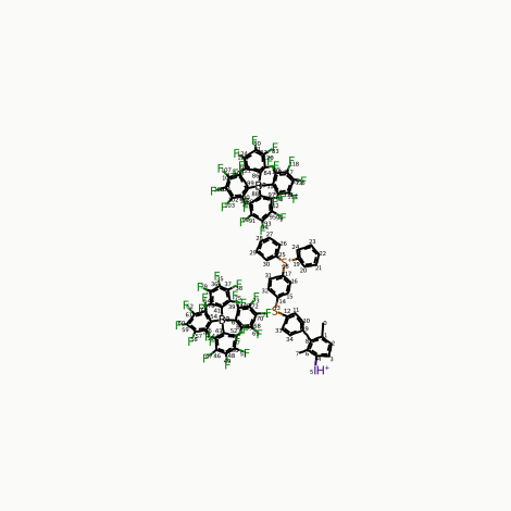 Cc1ccc([IH+])c(C)c1-c1ccc(Sc2ccc([S+](c3ccccc3)c3ccccc3)cc2)cc1.Fc1c(F)c(F)c([B-](c2c(F)c(F)c(F)c(F)c2F)(c2c(F)c(F)c(F)c(F)c2F)c2c(F)c(F)c(F)c(F)c2F)c(F)c1F.Fc1c(F)c(F)c([B-](c2c(F)c(F)c(F)c(F)c2F)(c2c(F)c(F)c(F)c(F)c2F)c2c(F)c(F)c(F)c(F)c2F)c(F)c1F